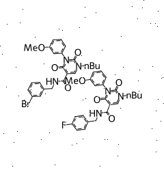 CCCCn1cc(C(=O)NCc2ccc(F)cc2)c(=O)n(-c2cccc(OC)c2)c1=O.CCCCn1cc(C(=O)NCc2cccc(Br)c2)c(=O)n(-c2cccc(OC)c2)c1=O